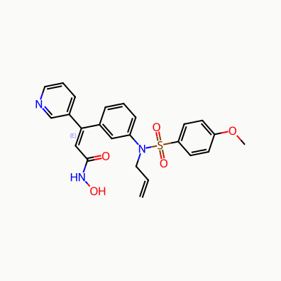 C=CCN(c1cccc(/C(=C\C(=O)NO)c2cccnc2)c1)S(=O)(=O)c1ccc(OC)cc1